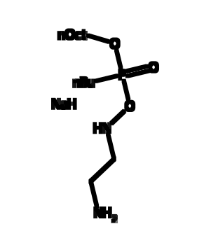 CCCCCCCCOP(=O)(CCCC)ONCCN.[NaH]